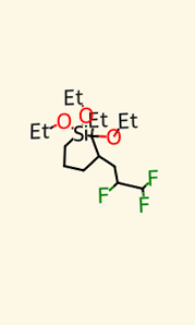 CCOC1(CC)C(CC(F)C(F)F)CCC[Si]1(OCC)OCC